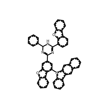 c1ccc(C2N=C(c3cc(-n4c5ccccc5c5cc6ccccc6cc54)c4c(c3)oc3ccccc34)N=C(c3cccc4c3oc3ccccc34)N2)cc1